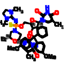 CC[C@@H]1CN(P(=S)(N=C2N(C)CCN2C)OC[C@H]2O[C@@H](n3cc(C)c(=O)[nH]c3=O)CC2OC(c2ccccc2)(c2ccc(OC)cc2)c2ccc(OC)cc2)C[C@H](n2cc(C)c(=O)[nH]c2=O)O1